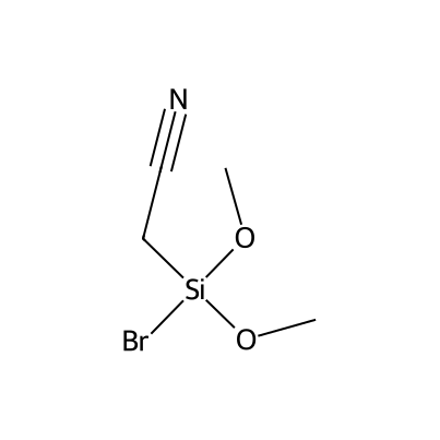 CO[Si](Br)(CC#N)OC